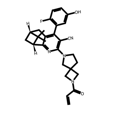 C=CC(=O)N1CC2(CCN(c3nc4c(c(-c5cc(O)ccc5F)c3C#N)C[C@H]3C[C@@H]4C3(C)C)C2)C1